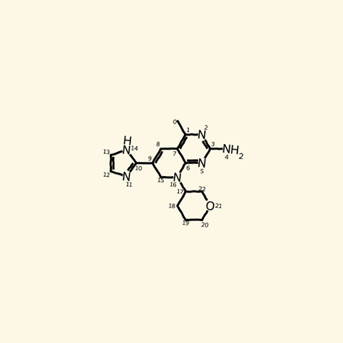 Cc1nc(N)nc2c1C=C(c1ncc[nH]1)CN2C1CCCOC1